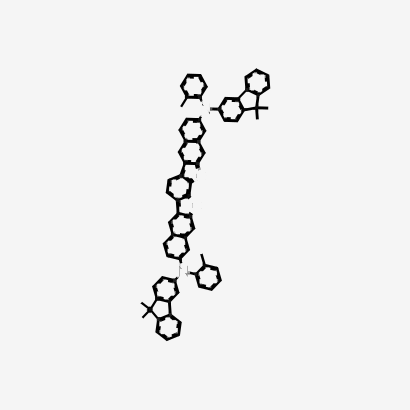 Cc1ccccc1N(c1ccc2c(c1)-c1ccccc1C2(C)C)c1ccc2cc3c(cc2c1)oc1c3ccc2c3cc4ccc(N(c5ccc6c(c5)-c5ccccc5C6(C)C)c5ccccc5C)cc4cc3oc21